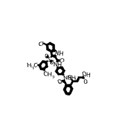 Cc1cc(C)cc(S(=O)(=O)c2c(C(=O)Nc3ccc(NC(=O)c4ccccc4C(S)CCC(=O)O)cc3)[nH]c3ccc(Cl)cc23)c1